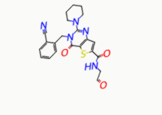 N#Cc1ccccc1Cn1c(N2CCCCC2)nc2cc(C(=O)NCC=O)sc2c1=O